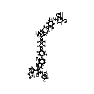 O=C1CC[C@H](Nc2ccc(N3CCC(O)(CC(=O)N4CC5(C4)CN(c4ccc(-c6ccc7cn(C(C(=O)Nc8nccs8)c8ncn9c8CCC9)nc7c6F)cc4)C5)CC3)c(F)c2)C(=O)N1